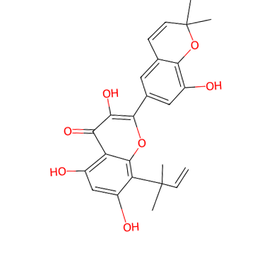 C=CC(C)(C)c1c(O)cc(O)c2c(=O)c(O)c(-c3cc(O)c4c(c3)C=CC(C)(C)O4)oc12